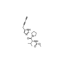 C#CC#CCc1cnc([C@@H]2CCCN2C(=O)[C@@H](NC(=O)OC)C(C)C)[nH]1